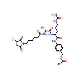 CCC1CC(=O)N(CCCCCC(=O)N[C@H](C(=O)N[C@@H](CCCNC(N)=O)C(=O)Nc2ccc(COC(=O)C(C)C)cc2)C(C)C)C1=O